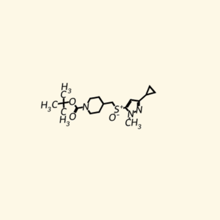 Cn1nc(C2CC2)cc1[S+]([O-])CC1CCN(C(=O)OC(C)(C)C)CC1